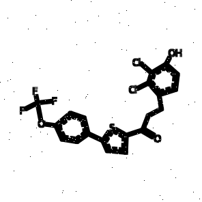 O=C(CCc1ccc(O)c(Cl)c1Cl)c1ccc(-c2ccc(OC(F)(F)F)cc2)s1